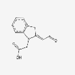 O=C/C=C1\Cc2ccccc2N1CC(=O)O